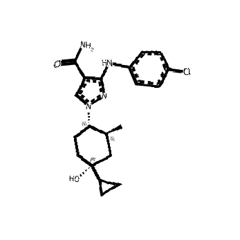 C[C@H]1C[C@@](O)(C2CC2)CC[C@@H]1n1cc(C(N)=O)c(Nc2ccc(Cl)cc2)n1